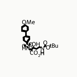 COc1ccc(-c2ccc(S(=O)(=O)N[C@@H](C(=O)O)[C@H](O)CCNC(=O)OC(C)(C)C)cc2)cc1